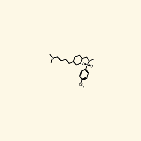 CN(C)CCCCC1CCC(CN(C)S(=O)(=O)c2ccc(C(F)(F)F)cc2)CC1